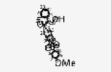 COc1ccc(S(=O)(=O)n2cc3c(n2)CN(C(=O)[C@H](CO)c2ccccc2F)C3)cc1